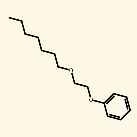 [CH2]CCCCCCOCCOc1ccccc1